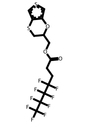 O=C(CCC(F)(F)C(F)(F)C(F)(F)C(F)(F)F)OCC1CSc2cscc2O1